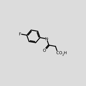 O=C(O)CC(=O)[N]c1ccc(F)cc1